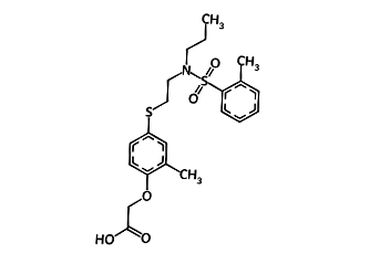 CCCN(CCSc1ccc(OCC(=O)O)c(C)c1)S(=O)(=O)c1ccccc1C